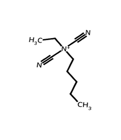 CCCCC[N+](C#N)(C#N)CC